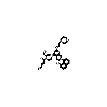 N#CC[C@H]1CN(c2nc(OCCN3CCCOCC3)nc3c2CCN(c2cccc4cccc(Cl)c24)C3)CCN1C(=O)/C=C/CF